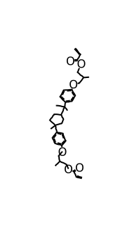 C=CC(=O)OCC(C)COc1ccc(C2(C)CCC(C(C)(C)c3ccc(OCC(C)COC(=O)C=C)cc3)CC2)cc1